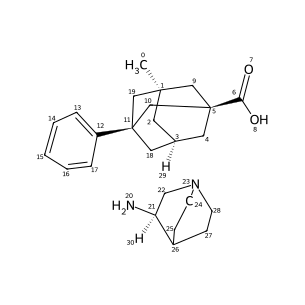 C[C@@]12C[C@H]3C[C@@](C(=O)O)(C1)C[C@](c1ccccc1)(C3)C2.N[C@H]1CN2CCC1CC2